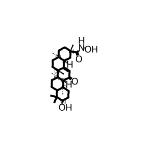 CC1(C)C2CC[C@]3(C)[C@H](C(=O)C=C4[C@@H]5C[C@@](C)(C(=O)NO)CC[C@]5(C)CC[C@]43C)[C@@]2(C)CC[C@H]1O